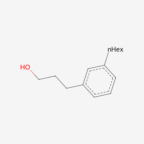 CCCCCCc1cccc(CCCO)c1